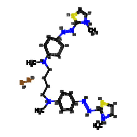 CN(CCCCN(C)c1ccc(N=Nc2scc[n+]2C)cc1)c1ccc(N=Nc2scc[n+]2C)cc1.[Br-].[Br-]